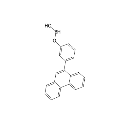 OBOc1cccc(-c2cc3ccccc3c3ccccc23)c1